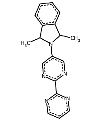 CC1c2ccccc2C(C)N1c1cnc(-c2ncccn2)nc1